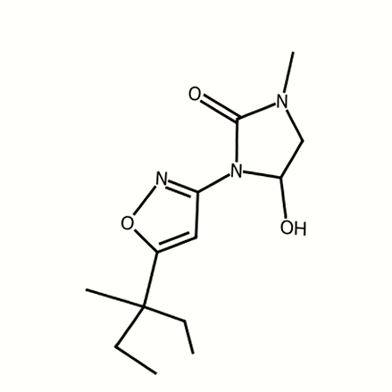 CCC(C)(CC)c1cc(N2C(=O)N(C)CC2O)no1